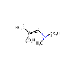 CN(C=C(C(=O)O)C(=O)O)C(=O)O